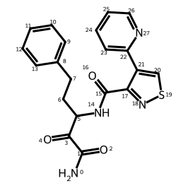 NC(=O)C(=O)C(CCc1ccccc1)NC(=O)c1nscc1-c1ccccn1